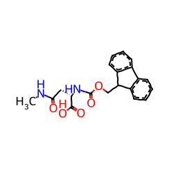 CNC(=O)C[C@H](NC(=O)OCC1c2ccccc2-c2ccccc21)C(=O)O